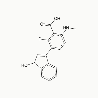 CNc1ccc(C2=CC(O)c3ccccc32)c(F)c1C(=O)O